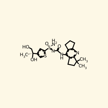 CC1(C)CCc2c1nc1c(c2NC(=O)N=[S@](N)(=O)c2cc([C@@](C)(O)CO)cs2)CCC1